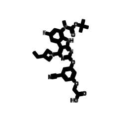 CCC1CN(c2nc(Oc3cc(C#N)cc(OCC(=O)O)c3)nc3[nH]c4c(N(C)C(=O)OC(C)(C)C)cc(F)cc4c23)C1